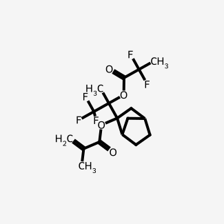 C=C(C)C(=O)OC1(C(C)(OC(=O)C(C)(F)F)C(F)(F)F)CC2CCC1C2